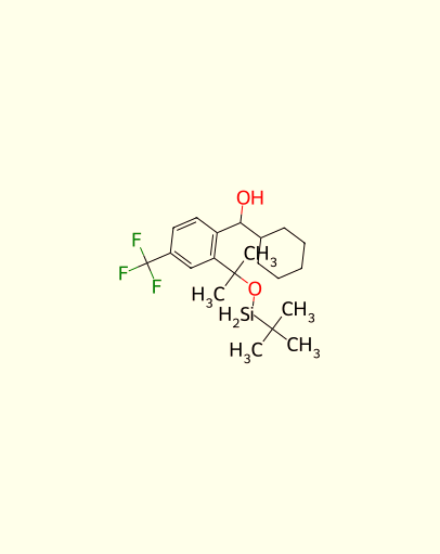 CC(C)(C)[SiH2]OC(C)(C)c1cc(C(F)(F)F)ccc1C(O)C1CCCCC1